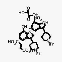 CC(C)N1CCC(c2c[nH]c3c([N+](=O)[O-])cccc23)CC1.CCN1CCC(c2c[nH]c3c(C#N)cccc23)CC1.O=C(O)C(=O)O.O=C(O)C=CC(=O)O